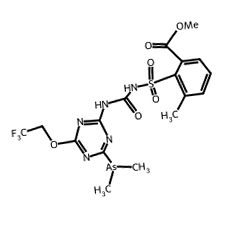 COC(=O)c1cccc(C)c1S(=O)(=O)NC(=O)Nc1nc(OCC(F)(F)F)nc([As](C)C)n1